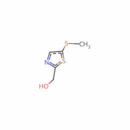 CSc1cnc(CO)s1